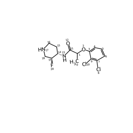 CC(Oc1cccc(Cl)c1Cl)C(=O)N[C@H]1CCNC[C@@H]1F